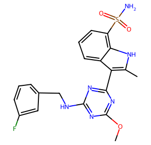 COc1nc(NCc2cccc(F)c2)nc(-c2c(C)[nH]c3c(S(N)(=O)=O)cccc23)n1